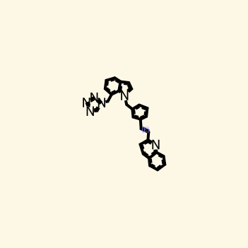 C(=C\c1ccc2ccccc2n1)/c1cccc(Cn2ccc3cccc(Cn4cnnn4)c32)c1